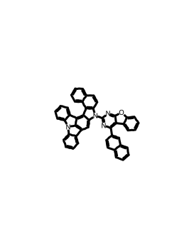 c1ccc2cc(-c3nc(-n4c5ccc6ccccc6c5c5c6c7ccccc7n7c8ccccc8c(cc54)c67)nc4oc5ccccc5c34)ccc2c1